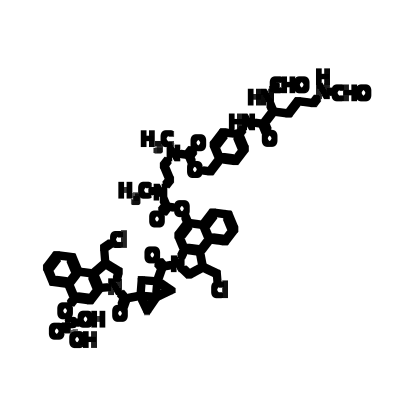 CN(CCN(C)C(=O)Oc1cc2c(c3ccccc13)C(CCl)CN2C(=O)C12CC3(C(=O)N4CC(CCl)c5c4cc(OP(=O)(O)O)c4ccccc54)CC13C2)C(=O)OCc1ccc(NC(=O)C(CCCNC=O)NC=O)cc1